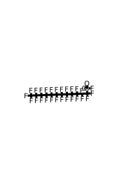 O=S(=O)(F)C(F)(F)C(F)(F)C(F)(F)C(F)(F)C(F)(F)C(F)(F)C(F)(F)C(F)(F)C(F)(F)C(F)(F)C(F)(F)C(F)(F)F